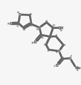 CC(C)(C)OC(=O)N1CCC2(CC1)C(=O)N(C1=CC(=O)OC1)CC2O